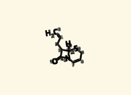 C=CCC1C(=O)N2C=CCS[C@@H]12